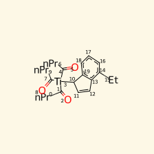 CCC[C](=O)[Ti]([C](=O)CCC)([C](=O)CCC)[CH]1C=Cc2c(CC)cccc21